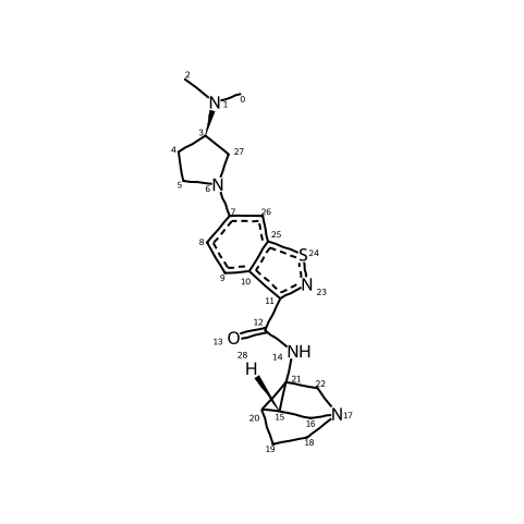 CN(C)[C@@H]1CCN(c2ccc3c(C(=O)N[C@@H]4CN5CCC4CC5)nsc3c2)C1